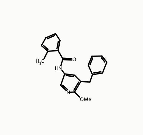 COc1ncc(NC(=O)c2ccccc2C)cc1Cc1ccccc1